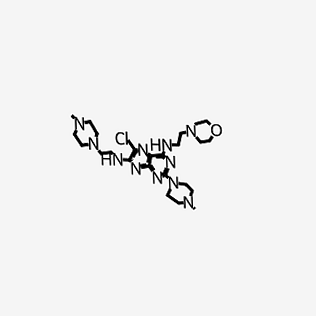 CN1CCN(CCNc2nc3nc(N4CCN(C)CC4)nc(NCCN4CCOCC4)c3nc2Cl)CC1